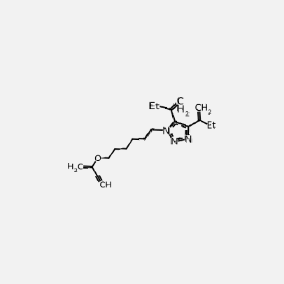 C#CC(=C)OCCCCCCn1nnc(C(=C)CC)c1C(=C)CC